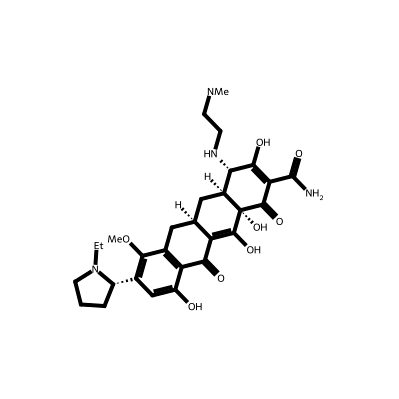 CCN1CCC[C@H]1c1cc(O)c2c(c1OC)C[C@H]1C[C@H]3[C@H](NCCNC)C(O)=C(C(N)=O)C(=O)[C@@]3(O)C(O)=C1C2=O